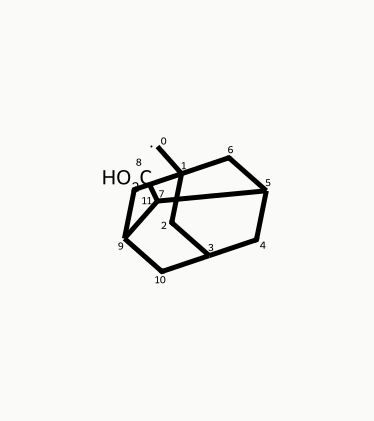 [CH2]C12CC3CC(C1)C(C(=O)O)C(C3)C2